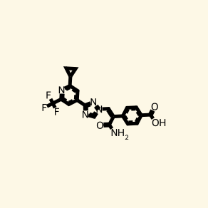 NC(=O)C(=Cn1cnc(-c2cc(C3CC3)nc(C(F)(F)F)c2)n1)c1ccc(C(=O)O)cc1